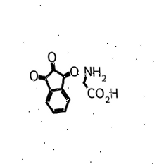 NCC(=O)O.O=c1c(=O)c2ccccc2c1=O